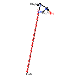 COCCOCCOCCOCCOCCOCCOCCOCCOCCOCCOCCOCCOCCOCCOCCOCCOCCOCCOCCOCCOCCOCCOCCOCCNC(=O)CCCCCN1C(=CC=CC=CC=CC2=[N+](CCCCCC(=O)O)c3ccc(SOOO)cc3C2(C)C)C(C)(C)c2cc(S(=O)(=O)O)ccc21